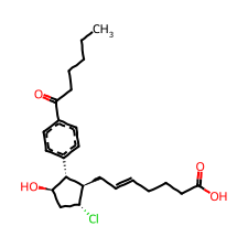 CCCCCC(=O)c1ccc([C@@H]2[C@@H](CC=CCCCC(=O)O)[C@H](Cl)C[C@H]2O)cc1